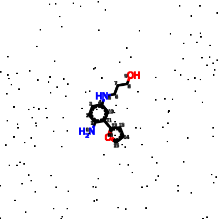 Nc1ccc(NCCCO)cc1-c1ccco1